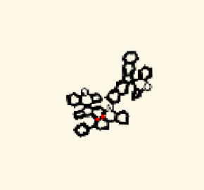 c1ccc(-c2ccc(-c3ccccc3N(c3ccc4c(c3)C3(c5ccccc5Oc5ccccc53)c3ccccc3-4)c3ccc4cc5c(cc4c3)C3(c4ccccc4Oc4ccccc43)c3cc4ccccc4cc3-5)cc2)cc1